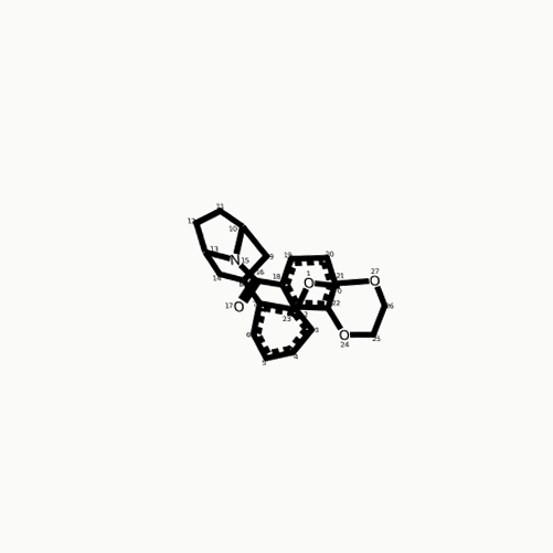 COc1ccccc1C1CC2CCC(C1)N2C(=O)c1ccc2c(c1)OCCO2